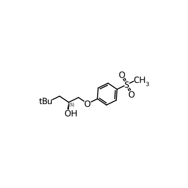 CC(C)(C)C[C@H](O)COc1ccc(S(C)(=O)=O)cc1